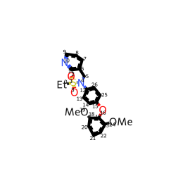 CCS(=O)(=O)N(Cc1cccnc1)c1ccc(Oc2c(OC)cccc2OC)cc1